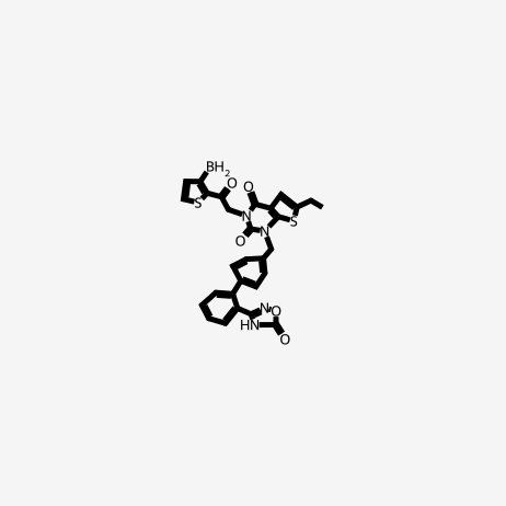 Bc1ccsc1C(=O)Cn1c(=O)c2cc(CC)sc2n(Cc2ccc(-c3ccccc3-c3noc(=O)[nH]3)cc2)c1=O